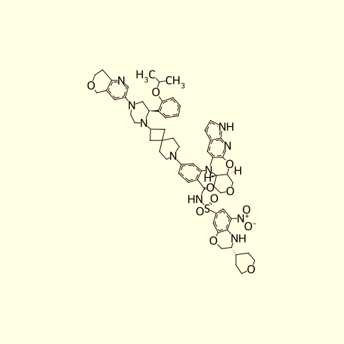 CC(C)Oc1ccccc1[C@@H]1CN(c2cnc3c(c2)COCC3)CCN1C1CC2(CCN(c3ccc(C(=O)NS(=O)(=O)c4cc5c(c([N+](=O)[O-])c4)N[C@H](C4CCOCC4)CO5)c(N4c5cc6cc[nH]c6nc5O[C@H]5COCC[C@@H]54)c3)CC2)C1